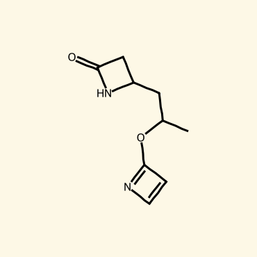 CC(CC1CC(=O)N1)OC1=NC=C1